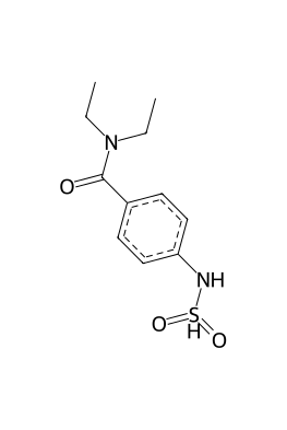 CCN(CC)C(=O)c1ccc(N[SH](=O)=O)cc1